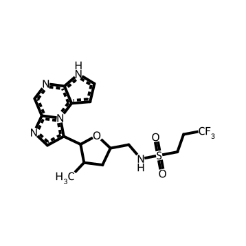 CC1CC(CNS(=O)(=O)CCC(F)(F)F)OC1c1cnc2cnc3[nH]ccc3n12